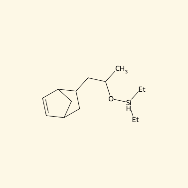 CC[SiH](CC)OC(C)CC1CC2C=CC1C2